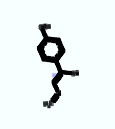 C=N/C=C(\S)c1ccc(OCC(C)C)cc1